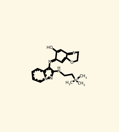 C[N+](C)(C)CCNc1nn2ccccc2c1/N=C1\C=C2OCCN=C2C=C1O